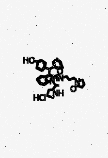 CC(C1CCCN1)n1c(C(=O)NCCCN2CCCC2=O)c(C(c2ccccc2)c2ccc(O)cc2)c2ccccc21.Cl